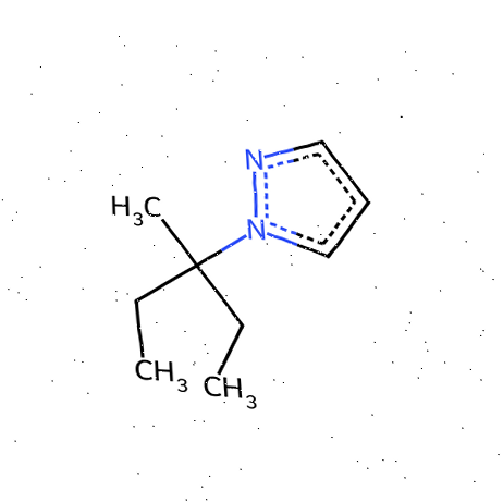 CCC(C)(CC)n1cccn1